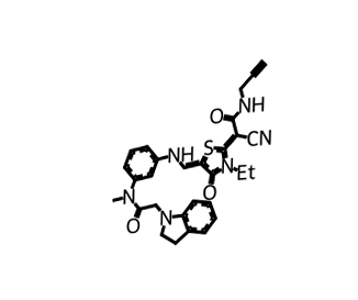 C#CCNC(=O)C(C#N)=c1sc(=CNc2cccc(N(C)C(=O)CN3CCc4ccccc43)c2)c(=O)n1CC